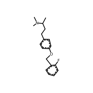 CC(CCc1ccc(OCc2ccccc2F)cc1)N(C)C